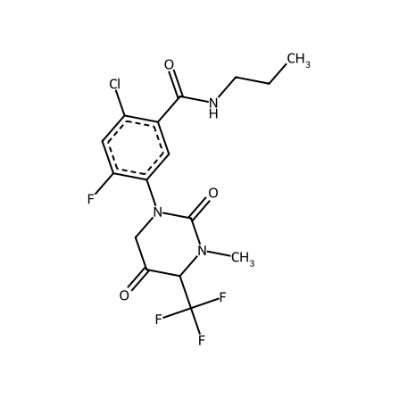 CCCNC(=O)c1cc(N2CC(=O)C(C(F)(F)F)N(C)C2=O)c(F)cc1Cl